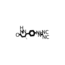 [C-]#[N+]C(=NNc1ccc(C2=NNC(=O)C[C@H]2C)cc1)[N+]#[C-]